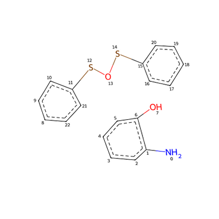 Nc1ccccc1O.c1ccc(SOSc2ccccc2)cc1